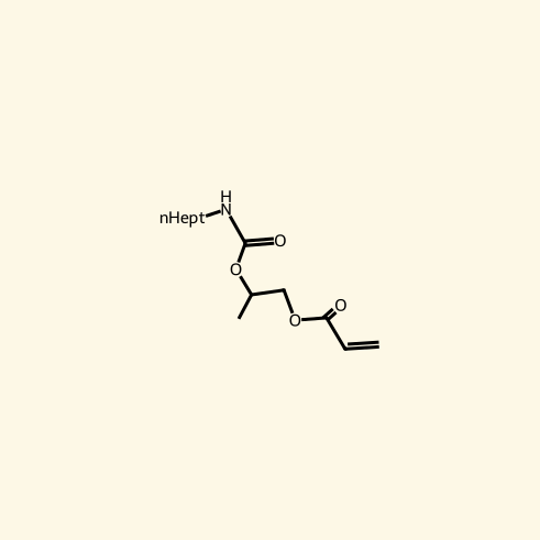 C=CC(=O)OCC(C)OC(=O)NCCCCCCC